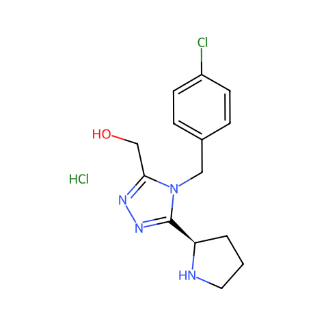 Cl.OCc1nnc([C@H]2CCCN2)n1Cc1ccc(Cl)cc1